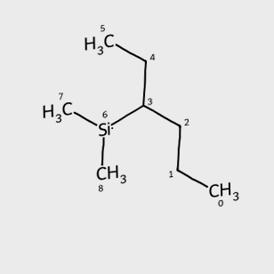 CCCC(CC)[Si](C)C